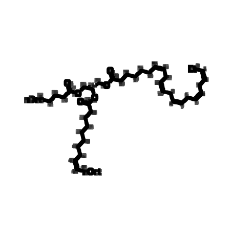 CC/C=C\C/C=C\C/C=C\C/C=C\C/C=C\CCCCCC(=O)OC[C@@H](COC(=O)CCCCCCCCCCCCC)OC(=O)CCCCCCC/C=C\CCCCCCCC